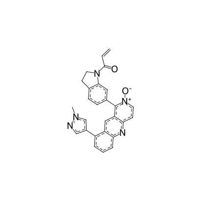 C=CC(=O)N1CCc2ccc(-c3c4cc5c(-c6cnn(C)c6)cccc5nc4cc[n+]3[O-])cc21